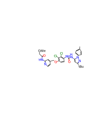 COCC(=O)Nc1cc(COc2ccc(NC(=O)Nc3cc(C(C)(C)C)nn3-c3ccc(C)cc3)c(Cl)c2Cl)ccn1